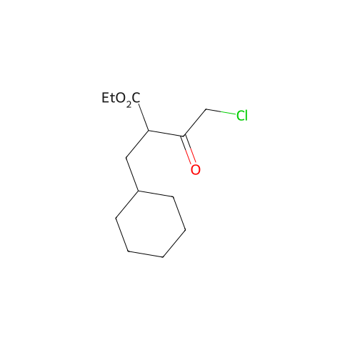 CCOC(=O)C(CC1CCCCC1)C(=O)CCl